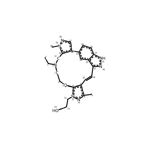 CCN1CCOc2c(c(C)nn2CCO)/C=C/c2n[nH]c3ccc(cc23)-c2cnn(C)c2C1